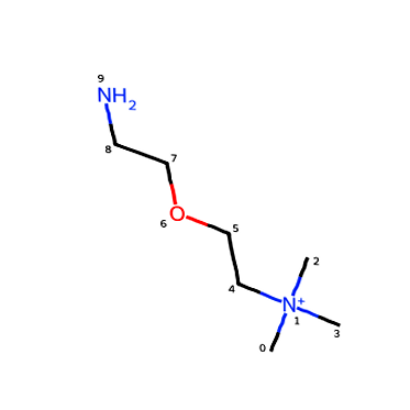 C[N+](C)(C)CCOCCN